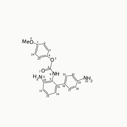 COc1ccc(OC(=O)Nc2c(N)cccc2-c2ccc(N)cc2)cc1